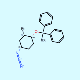 CC[C@H]1C[C@@H](N=[N+]=[N-])CC[C@H]1O[Si](c1ccccc1)(c1ccccc1)C(C)(C)C